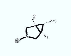 C[C@@H]1[C@H]2CN(C(C)(C)C)C[C@@H]12